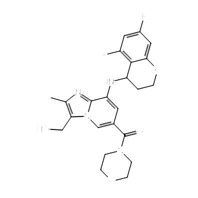 Cc1nc2c(NC3CCOc4cc(F)cc(F)c43)cc(C(=O)N3CCOCC3)cn2c1CO